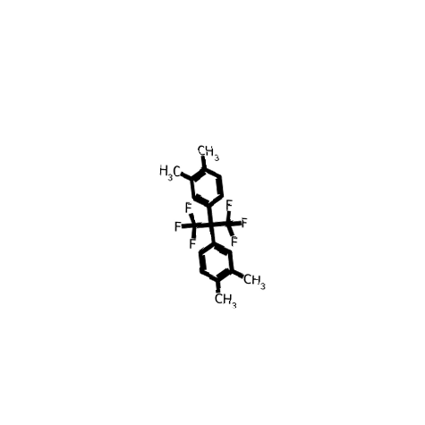 Cc1ccc(C(c2ccc(C)c(C)c2)(C(F)(F)F)C(F)(F)F)cc1C